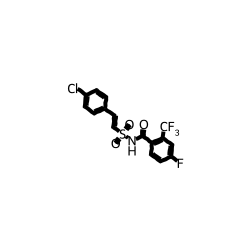 O=C(NS(=O)(=O)C=Cc1ccc(Cl)cc1)c1ccc(F)cc1C(F)(F)F